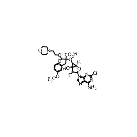 Nc1nc(Cl)nc2c1ncn2[C@@H]1O[C@@H]2C(OC(Cc3cccc(OC(F)(F)F)c3)(C(=O)O)C(=O)OCCN3CCOCC3)[C@]2(O)[C@@H]1F